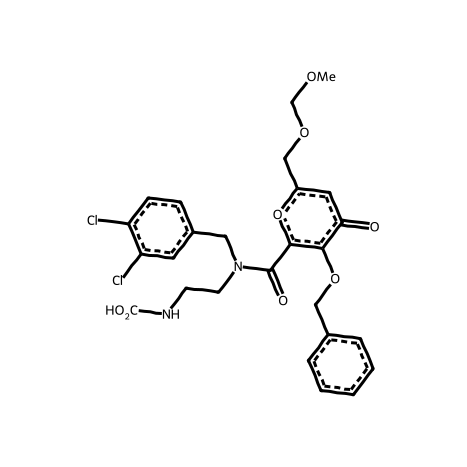 COCOCc1cc(=O)c(OCc2ccccc2)c(C(=O)N(CCNC(=O)O)Cc2ccc(Cl)c(Cl)c2)o1